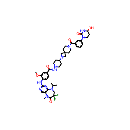 COc1cc(C(=O)NN2CCC(N3CC4(CCN(C(=O)c5cccc(N6CCC(O)NC6=O)c5)CC4)C3)CC2)ccc1Nc1ncc2c(n1)N(C(C)C)CC(F)(F)C(=O)N2C